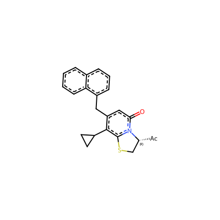 CC(=O)[C@@H]1CSc2c(C3CC3)c(Cc3cccc4ccccc34)cc(=O)n21